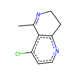 CC1=NCCc2nccc(Cl)c21